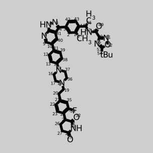 Cc1cc(-c2n[nH]c3ncc(-c4ccc(N5CCN(CCc6ccc(C7CCC(=O)NC7=O)c(F)c6)CC5)cc4)cc23)ccc1C(C)NC(=O)c1noc(C(C)(C)C)n1